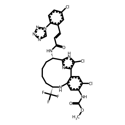 COC(=O)Nc1cc2c(cc1Cl)-c1nc([nH]c1Cl)[C@@H](NC(=O)/C=C/c1cc(Cl)ccc1-n1cnnn1)CCCC[C@@H](C(F)(F)F)N2